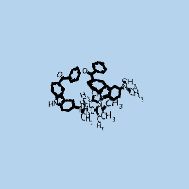 CC(C)[Si](C(C)C)(C(C)C)n1c2c(c3cc(C(=O)c4ccccc4)ccc31)CC(N(C)C)CC2.CN(C)C1CCc2[nH]c3ccc(C(=O)c4ccccc4)cc3c2C1